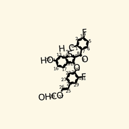 Cc1cc(F)ccc1C(=O)c1sc2cc(O)ccc2c1Oc1ccc(/C=C/OC=O)cc1F